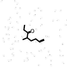 C=CCCC(C)C(=O)CC